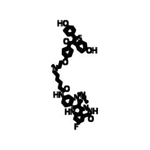 CN(CCCCCC(=O)Nc1ccc([C@H]2Nc3cc(F)cc4c(=O)[nH]nc(c34)C2c2ncnn2C)cc1)CCOc1ccc(C(=O)c2c(-c3ccc(O)cc3)sc3cc(O)ccc23)cc1